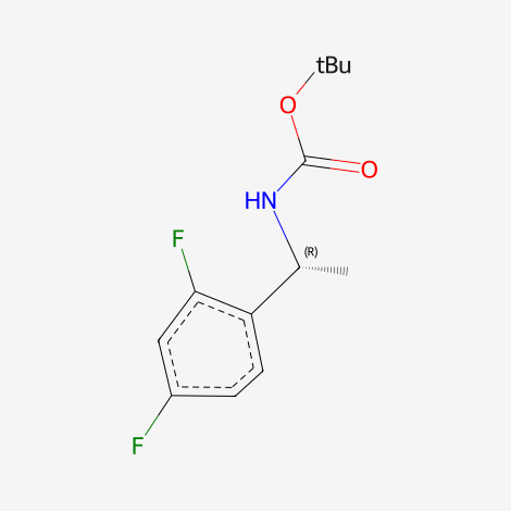 C[C@@H](NC(=O)OC(C)(C)C)c1ccc(F)cc1F